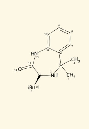 CC[C@H](C)C1NC(C)(C)c2ccccc2NC1=O